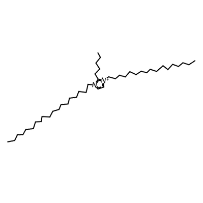 CCCCCCCCCCCCCCCCCCCn1cc[n+](CCCCCCCCCCCCCCCCC)c1CCCCC